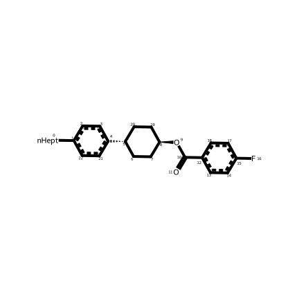 CCCCCCCc1ccc([C@H]2CC[C@H](OC(=O)c3ccc(F)cc3)CC2)cc1